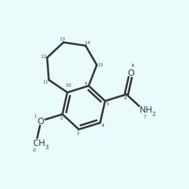 COc1ccc(C(N)=O)c2c1CCCCC2